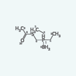 B[PH](CC)(CC)CSC(C)=O